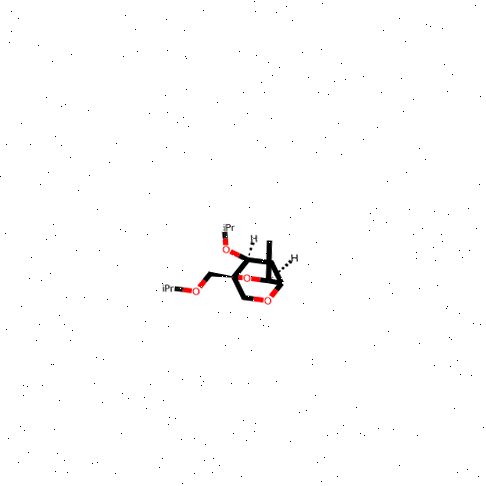 CC(C)OC[C@@]12COC(C[C@@H]1OC(C)C)[C@H](C)O2